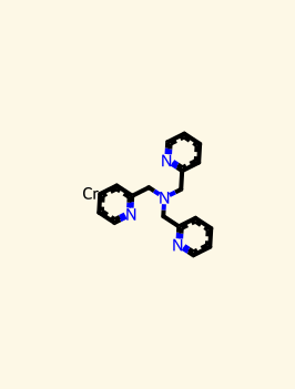 [Cr].c1ccc(CN(Cc2ccccn2)Cc2ccccn2)nc1